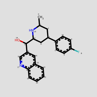 CC1CC(c2ccc(F)cc2)CC(C(O)c2cnc3ccccc3c2)N1